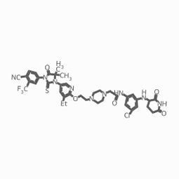 CCc1cc(N2C(=S)N(c3ccc(C#N)c(C(F)(F)F)c3)C(=O)C2(C)C)cnc1OCCN1CCN(CC(=O)Nc2cc(Cl)cc(NC3CCC(=O)NC3=O)c2)CC1